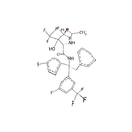 CC(C)N[C@H](C(=O)N[C@](Cc1ccccc1)(c1ccc(F)cc1)c1cc(F)cc(C(F)(F)F)c1)C(O)(C(F)(F)F)C(F)(F)F